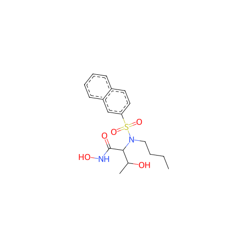 CCCCN(C(C(=O)NO)C(C)O)S(=O)(=O)c1ccc2ccccc2c1